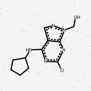 OCn1ncc2c(NC3CCCC3)nc(Cl)nc21